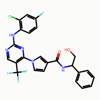 O=C(NC(CO)c1ccccc1)c1ccn(-c2nc(Nc3ccc(F)cc3Cl)ncc2C(F)(F)F)c1